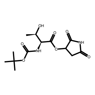 C[C@@H](O)[C@H](NC(=O)OC(C)(C)C)C(=O)OC1CC(=O)NC1=O